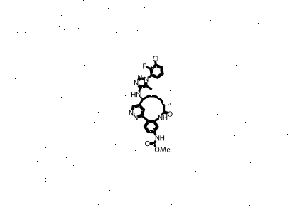 COC(=O)Nc1ccc2c(c1)NC(=O)[C@@H](C)CCC[C@H](Nc1nnn(-c3cccc(Cl)c3F)c1C)c1cnnc-2c1